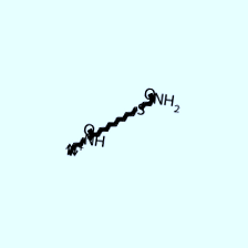 C[N+](C)(C)CCCNC(=O)CCCCCCCCCCSCCC(N)=O